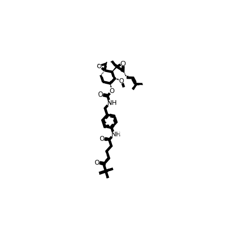 CO[C@H]1[C@H](C2(C)O[C@@H]2CC=C(C)C)[C@]2(CC[C@H]1OC(=O)NCc1ccc(NC(=O)CCCC(=O)C(C)(C)C)cc1)CO2